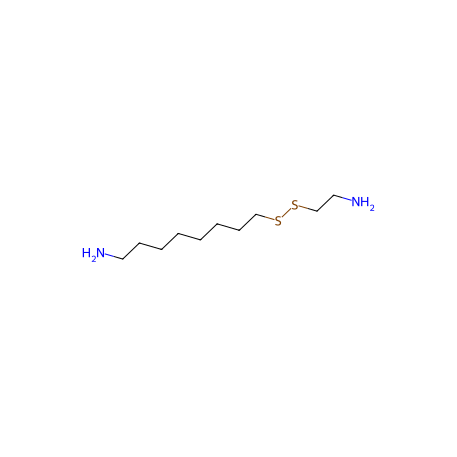 NCCCCCCCCSSCCN